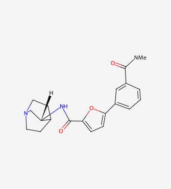 CNC(=O)c1cccc(-c2ccc(C(=O)N[C@H]3CN4CCC3CC4)o2)c1